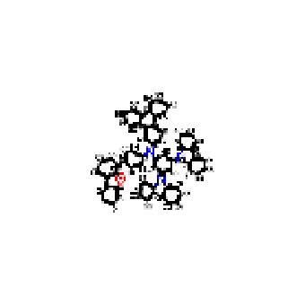 c1ccc2c(c1)oc1c(-c3ccc(N(c4cc(-n5c6ccccc6c6ccccc65)cc(-n5c6ccccc6c6ccccc65)c4)c4ccc5c6ccccc6c6ccccc6c5c4)cc3)cccc12